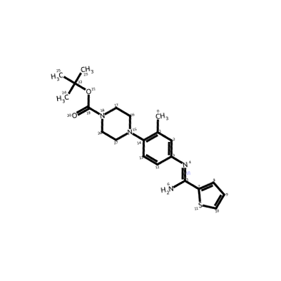 Cc1cc(/N=C(\N)c2cccs2)ccc1N1CCN(C(=O)OC(C)(C)C)CC1